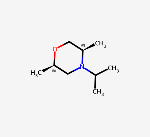 CC(C)N1C[C@@H](C)OC[C@H]1C